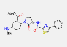 COC(=O)C1CC(NC(C)(C)C)CCC1N1CC[C@H](NC(=O)c2nc(-c3ccccc3)cs2)C1=O